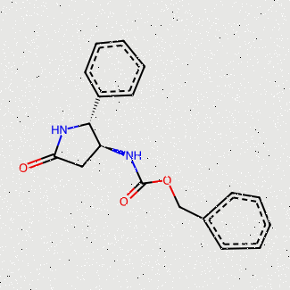 O=C1C[C@H](NC(=O)OCc2ccccc2)[C@@H](c2ccccc2)N1